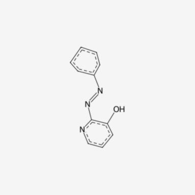 Oc1cccnc1N=Nc1ccccc1